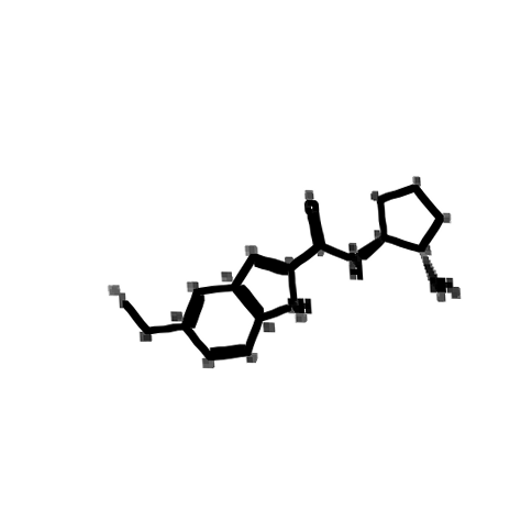 N[C@H]1CCC[C@@H]1NC(=O)c1cc2cc(CI)ccc2[nH]1